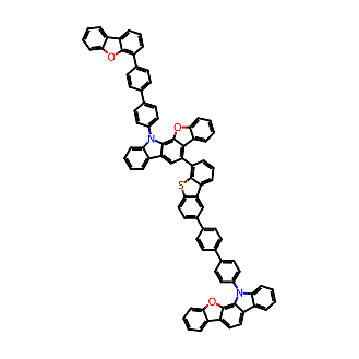 c1ccc2c(c1)oc1c(-c3ccc(-c4ccc(-n5c6ccccc6c6cc(-c7cccc8c7sc7ccc(-c9ccc(-c%10ccc(-n%11c%12ccccc%12c%12ccc%13c%14ccccc%14oc%13c%12%11)cc%10)cc9)cc78)c7c8ccccc8oc7c65)cc4)cc3)cccc12